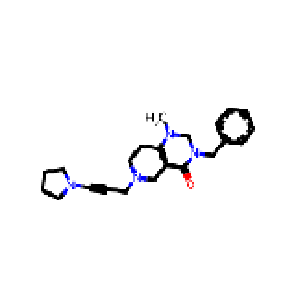 CN1CN(Cc2ccccc2)C(=O)C2=C1CCN(CC#CN1CCCC1)C2